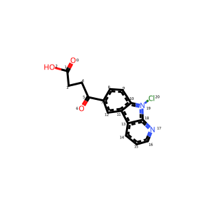 O=C(O)CCC(=O)c1ccc2c(c1)c1cccnc1n2Cl